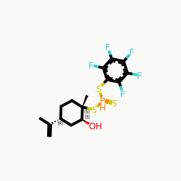 C=C(C)[C@@H]1CC[C@](C)(S[PH](=S)Sc2c(F)c(F)c(F)c(F)c2F)[C@@H](O)C1